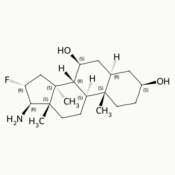 C[C@]12CC[C@H](O)C[C@@H]1C[C@H](O)[C@@H]1[C@@H]2CC[C@]2(C)[C@@H](N)[C@H](F)C[C@@]12C